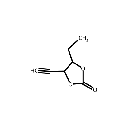 C#CC1OC(=O)OC1CC